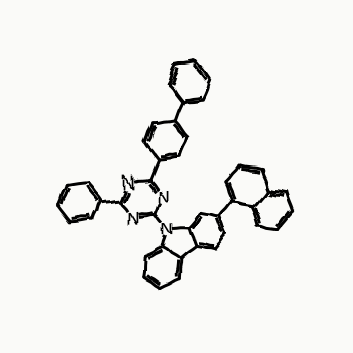 c1ccc(-c2ccc(-c3nc(-c4ccccc4)nc(-n4c5ccccc5c5ccc(-c6cccc7ccccc67)cc54)n3)cc2)cc1